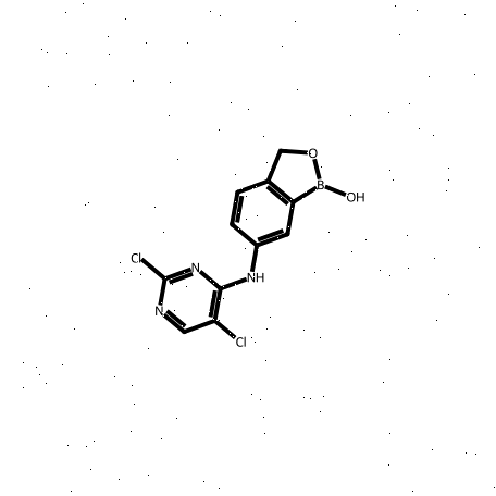 OB1OCc2ccc(Nc3nc(Cl)ncc3Cl)cc21